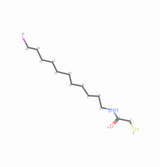 O=C(CS)NCCCCCCCCCCCI